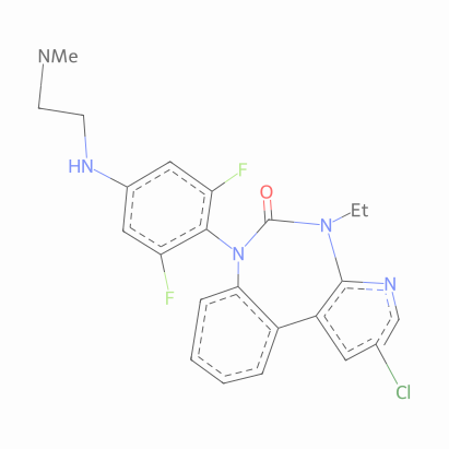 CCN1C(=O)N(c2c(F)cc(NCCNC)cc2F)c2ccccc2-c2cc(Cl)cnc21